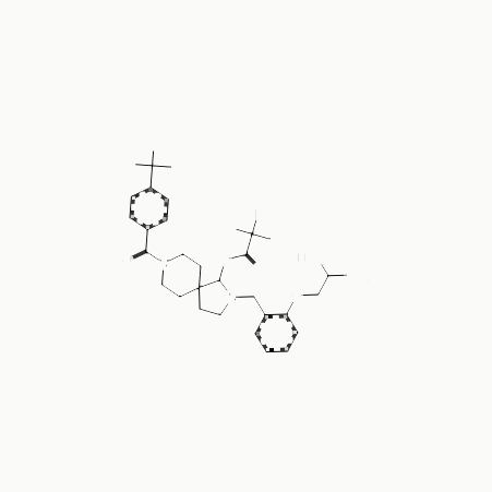 CC(C)COc1ccccc1CN1CCC2(CCN(C(=O)c3ccc(C(F)(F)F)cc3)CC2)C1OC(=O)C(F)(F)F